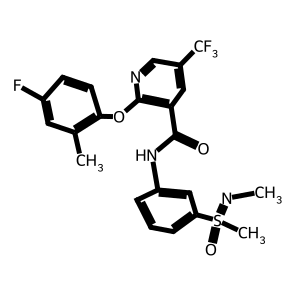 CN=S(C)(=O)c1cccc(NC(=O)c2cc(C(F)(F)F)cnc2Oc2ccc(F)cc2C)c1